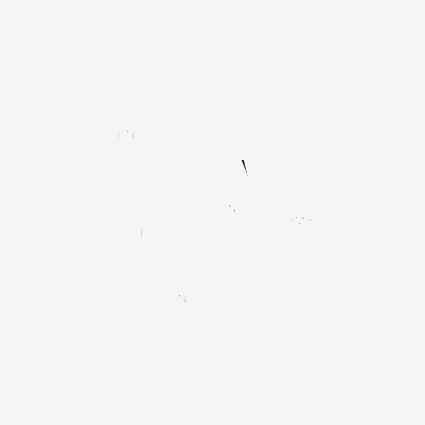 COC(=O)[C@H](Cc1ccc(N)cc1)NC(=O)c1c(Cl)cncc1Cl.Cl